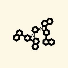 c1cc(-n2c3cc(-c4cccc5ccccc45)ccc3c3c4ccccc4ccc32)cc(-n2c3cc(-c4cccc5ccccc45)ccc3c3c4ccccc4ccc32)c1